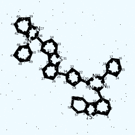 C1=Cc2c(sc3cccc(-c4nc(-c5ccccc5)nc(-c5ccc(-c6cccc7c6sc6ccc(-c8nc9ccccc9n8-c8ccccc8)cc67)cc5)n4)c23)CC1